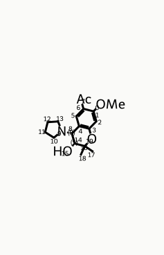 COc1cc2c(cc1C(C)=O)[C@@H](N1CCCC1)[C@H](O)C(C)(C)O2